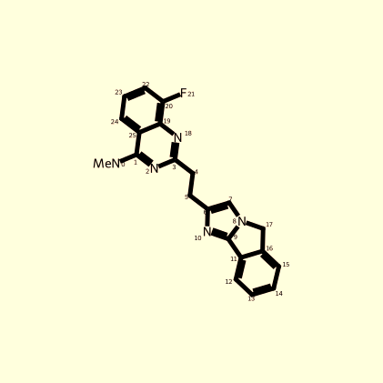 CNc1nc(CCc2cn3c(n2)-c2ccccc2C3)nc2c(F)cccc12